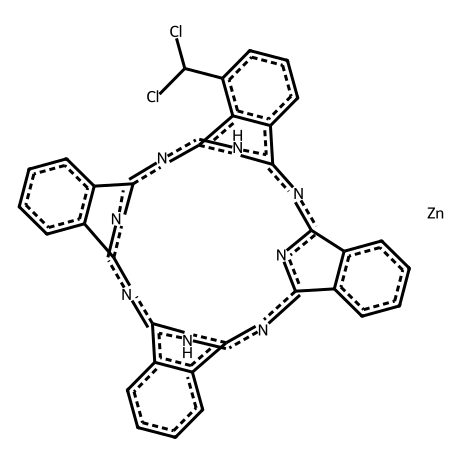 ClC(Cl)c1cccc2c3nc4nc(nc5[nH]c(nc6nc(nc([nH]3)c12)-c1ccccc1-6)c1ccccc51)-c1ccccc1-4.[Zn]